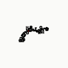 CC(C)(C)OC(=O)N1CCN(CC(=O)Nc2ccn(CCC(F)Cn3cc(C(=O)NCC4CCCC4)nn3)c(=O)c2)CC1